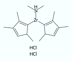 CC1=CC(C)[C]([Zr]([C]2=C(C)C(C)=CC2C)[SiH](C)C)=C1C.Cl.Cl